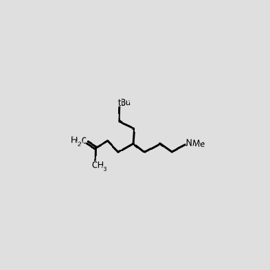 C=C(C)CCC(CCCNC)CCC(C)(C)C